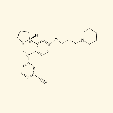 C#Cc1cccc([C@@H]2CN3CCC[C@@H]3c3cc(OCCCN4CCCCC4)ccc32)c1